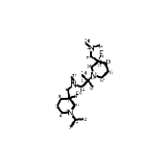 CC(C)N1CCCC(F)(CN(C)CC(C)(C)N2CCC[C@](F)(CN(C)C)C2)C1